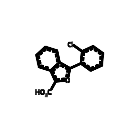 O=C(O)c1oc(-c2ccccc2Cl)c2ccccc12